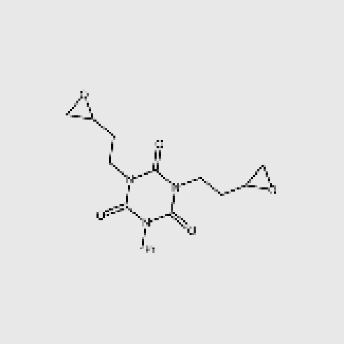 CCCn1c(=O)n(CCC2CO2)c(=O)n(CCC2CO2)c1=O